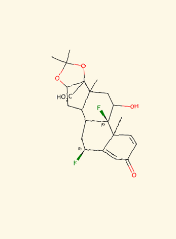 CC1(C)OC2CC3C4C[C@H](F)C5=CC(=O)C=CC5(C)[C@@]4(F)C(O)CC3(C)C2(C(=O)O)O1